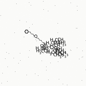 CC(C)(C)OC(=O)N(CCCCCCOCCCCc1ccccc1)C[C@H](O)c1ccc(OP(=O)(OC(C)(C)C)OC(C)(C)C)c(C(C)(C)O[SiH2]C(C)(C)C)c1